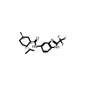 CC(C)[C@@H]1CC[C@@H](C)C[C@H]1C(=O)Nc1ccc2[nH]c(C(F)(F)F)nc2c1